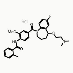 COc1cc(C(=O)N2CCCC(OCCN(C)C)c3cc(F)ccc32)ccc1NC(=O)c1ccccc1C.Cl